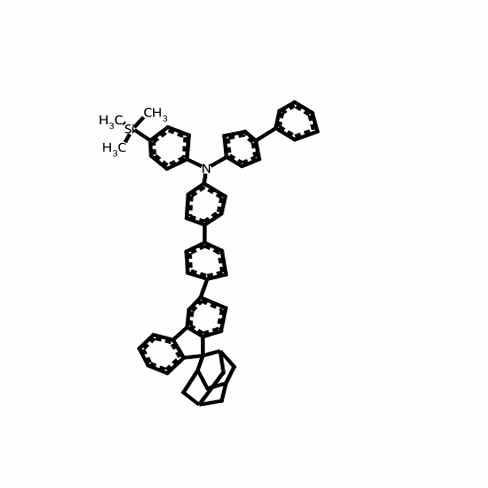 C[Si](C)(C)c1ccc(N(c2ccc(-c3ccccc3)cc2)c2ccc(-c3ccc(-c4ccc5c(c4)-c4ccccc4C54C5CC6CC(C5)CC4C6)cc3)cc2)cc1